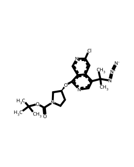 CC(C)(C)OC(=O)N1CC[C@H](Oc2ncc(C(C)(C)N=[N+]=[N-])c3cc(Cl)ncc23)C1